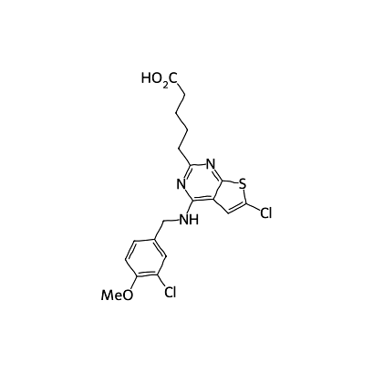 COc1ccc(CNc2nc(CCCCC(=O)O)nc3sc(Cl)cc23)cc1Cl